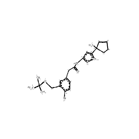 CC(C)(C)OCc1cc(CC(=O)Nc2cc(C3(C)CCCC3)on2)ccc1Br